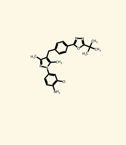 Cc1nn(-c2ccc(N)c(Cl)c2)c(C)c1Cc1ccc(-c2nnc(C(C)(C)C)o2)cc1